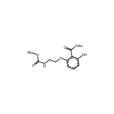 COC(=O)c1c(O)cccc1OCCNC(=O)OC(C)(C)C